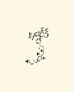 CC1(C)c2ccc(C3CCN(CC4[C@H]5CN(CC6CCNCC6)C[C@@H]45)CC3)cc2-n2c1nc(=O)c1c(Cl)cccc12